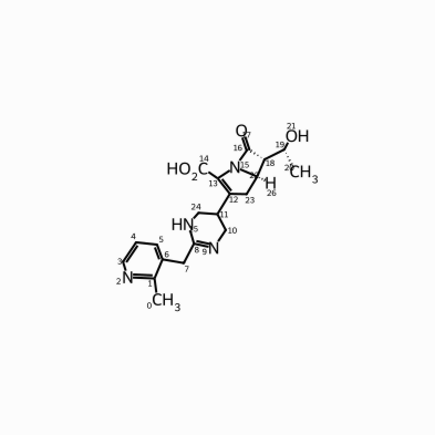 Cc1ncccc1CC1=NCC(C2=C(C(=O)O)N3C(=O)[C@H]([C@@H](C)O)[C@H]3C2)CN1